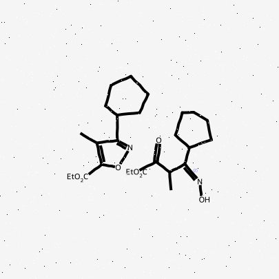 CCOC(=O)C(=O)C(C)/C(=N\O)C1CCCCC1.CCOC(=O)c1onc(C2CCCCC2)c1C